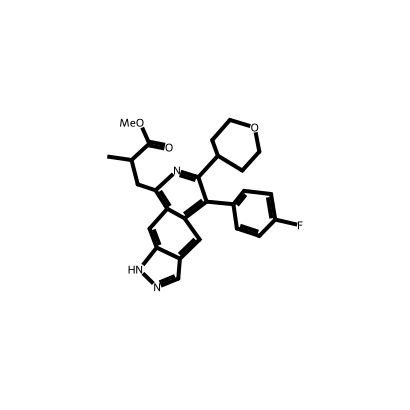 COC(=O)C(C)Cc1nc(C2CCOCC2)c(-c2ccc(F)cc2)c2cc3cn[nH]c3cc12